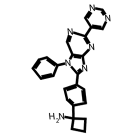 NC1(c2ccc(-c3nc4nc(-c5cncnc5)ncc4n3-c3ccccc3)cc2)CCC1